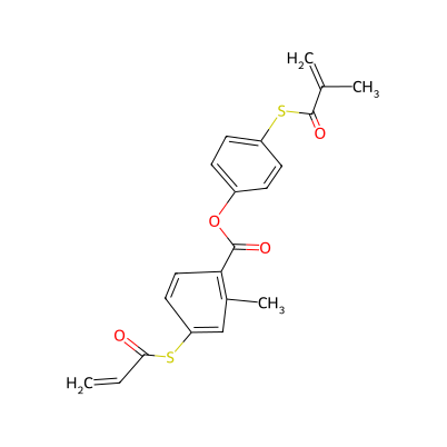 C=CC(=O)Sc1ccc(C(=O)Oc2ccc(SC(=O)C(=C)C)cc2)c(C)c1